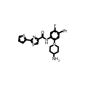 CC(C)c1cc(N2CCC(N)CC2)c(NC(=O)c2csc(-c3cccs3)n2)cc1F